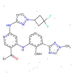 CCC(=O)c1cnc(Nc2ccn(C3CC(F)(F)C3)n2)cc1Nc1cccc(-c2ncn(C)n2)c1OC